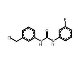 O=C(Nc1cccc(F)c1)Nc1cccc(CCl)c1